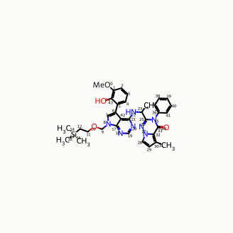 COc1cccc(-c2cn(COCC[Si](C)(C)C)c3ncnc(NC(C)c4nn5ccc(C)c5c(=O)n4-c4ccccc4)c23)c1O